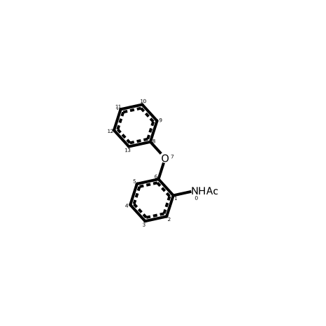 CC(=O)Nc1ccccc1Oc1cc[c]cc1